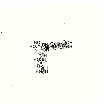 CCN(CC)CC.O=P(O)(O)O.O=P(O)(O)O.O=P(O)(O)O.O=P(O)(O)O.O=P(O)(O)O.O=P(O)(O)O.OC1C(O)C(O)C(O)C(O)C1O